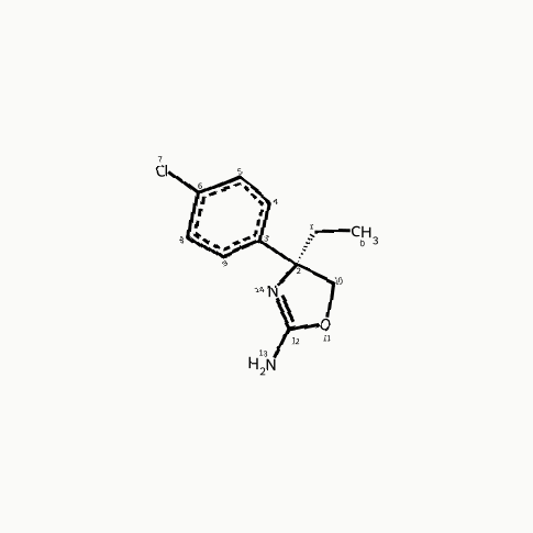 CC[C@]1(c2ccc(Cl)cc2)COC(N)=N1